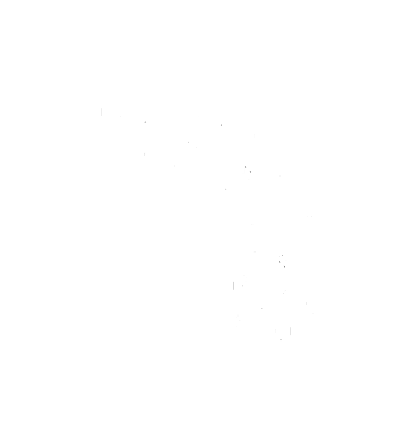 CC1CCC2(CC1)CCN(CC1CCN(C(=O)C(C)(C)C)CC1)CC2